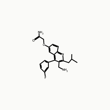 CC(C)Cc1nc2ccc(OCC(N)=O)cc2c(-c2cccc(F)c2)c1CN